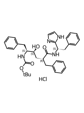 CC(C)(C)OC(=O)N[C@@H](Cc1ccccc1)[C@@H](O)C[C@@H](Cc1ccccc1)C(=O)N[C@@H](Cc1ccccc1)c1ncc[nH]1.Cl